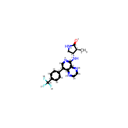 C[C@@H]1C(=O)NC[C@H]1Nc1ncc(-c2ccc(C(F)(F)F)cc2)c2nccnc12